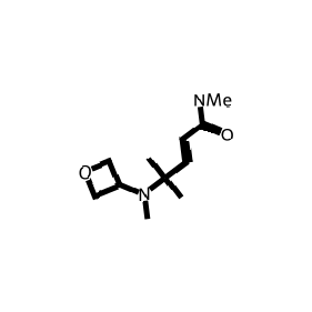 CNC(=O)/C=C/C(C)(C)N(C)C1COC1